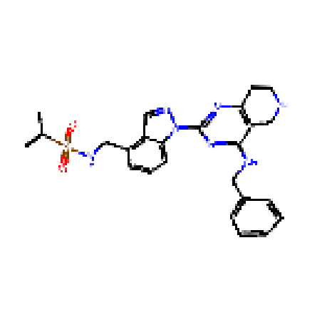 CC(C)S(=O)(=O)NCc1cccc2c1cnn2-c1nc2c(c(NCc3ccccc3)n1)CNCC2